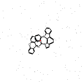 c1ccc(-n2c3ccccc3c3ccc4ccn(-c5nc6c7c(cccc7n5)Oc5ccccc5-6)c4c32)cc1